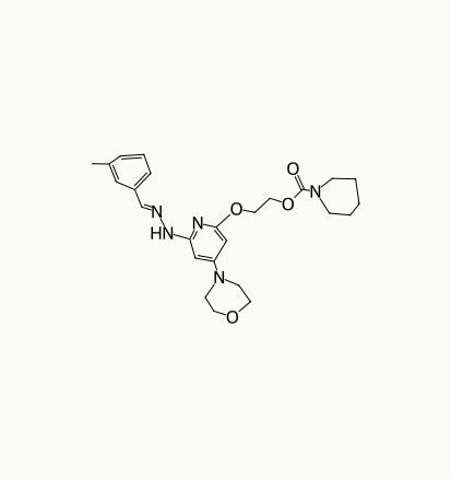 Cc1cccc(/C=N/Nc2cc(N3CCOCC3)cc(OCCOC(=O)N3CCCCC3)n2)c1